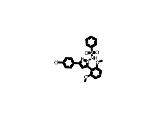 COc1cccc(OC)c1-c1cc(-c2ccc(Cl)cc2)nn1NS(=O)(=O)c1ccccc1